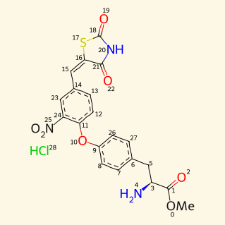 COC(=O)[C@@H](N)Cc1ccc(Oc2ccc(C=C3SC(=O)NC3=O)cc2[N+](=O)[O-])cc1.Cl